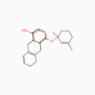 CC1(OC(=O)C2C3C4=C(C=CCC4)C(c4ccccc43)C2C(=O)O)C=C(I)CCC1